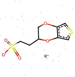 O=S(=O)([O-])CCC1COc2cscc2O1.[K+]